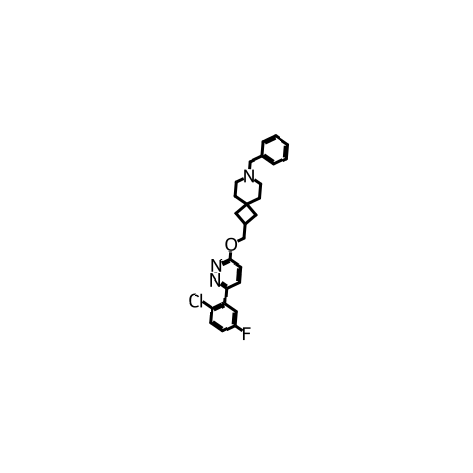 Fc1ccc(Cl)c(-c2ccc(OCC3CC4(CCN(Cc5ccccc5)CC4)C3)nn2)c1